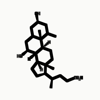 CC1C[C@H](O)CC2C[C@H](O)[C@@H]3[C@H](CC[C@]4(C)[C@@H]([C@H](C)CCC(=O)O)CC[C@@H]34)[C@@]12C